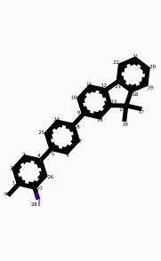 Cc1ccc(-c2ccc(-c3ccc4c(c3)C(C)(C)c3ccccc3-4)cc2)cc1I